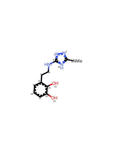 CNc1nnc(NCCc2cccc(O)c2O)[nH]1